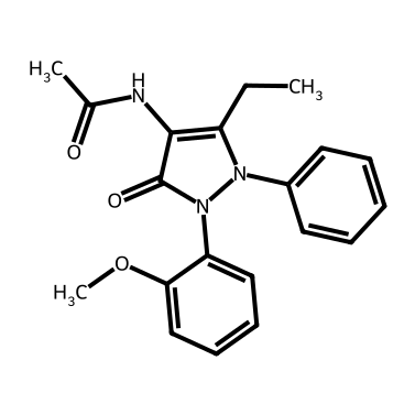 CCc1c(NC(C)=O)c(=O)n(-c2ccccc2OC)n1-c1ccccc1